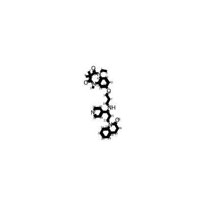 CCN1C(=O)C(C)(C)C(=O)N(C)c2cc(OCCCNC(CCN3C(=O)CCc4ccccc43)c3ccncc3)ccc21